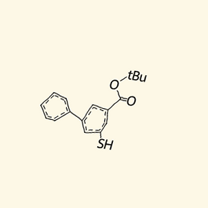 CC(C)(C)OC(=O)c1cc(S)cc(-c2ccccc2)c1